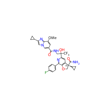 COc1cc(C(=O)NCC(O)(c2cc3c(c(-c4ccc(F)cc4)n2)OC[C@]3(C(N)=O)C2CC2)C(F)(F)F)cn2cc(C3CC3)nc12